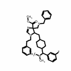 COC(=O)C1(CSCc2ccccc2)N=CN(CCc2ccccc2)C1CC1CCC(C(c2cccc(F)c2)N(C)C)CC1